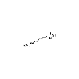 CCCCCCCCCCCCCCCC[CH]C(C)(O)CC